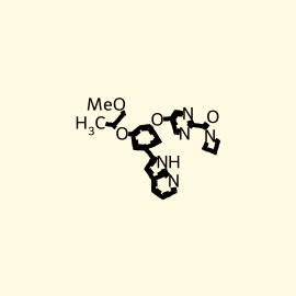 COCC(C)Oc1cc(Oc2cnc(C(=O)N3CCC3)nc2)cc(-c2cc3cccnc3[nH]2)c1